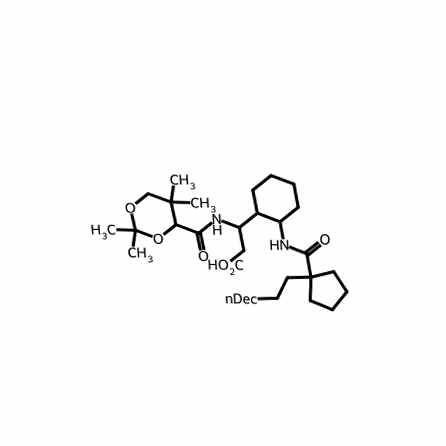 CCCCCCCCCCCCC1(C(=O)NC2CCCCC2C(CC(=O)O)NC(=O)C2OC(C)(C)OCC2(C)C)CCCC1